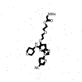 CNCC(=O)OCCOCCOc1cc2ncn(-c3ccc(C#N)cn3)c2nc1NC1CCOCC1